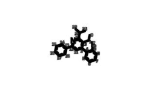 CCc1c(-c2ccccc2F)cc(-c2ccccc2)nc1C(C)C